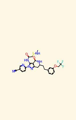 CNSCC(=O)Nc1c2c(nn1-c1ccc(C#N)cn1)CC(CCc1cccc(OCC(F)(F)F)c1)NC2=O